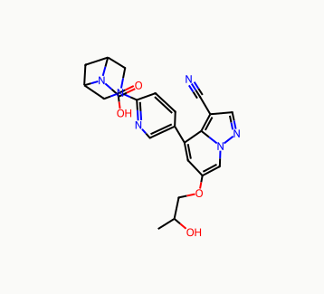 CC(O)COc1cc(-c2ccc(N3CC4CC(C3)N4C(=O)O)nc2)c2c(C#N)cnn2c1